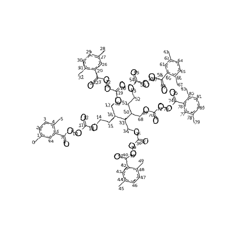 Cc1ccc(C)c(C(=O)OOC(=O)OCCC(COC(=O)OOC(=O)c2cc(C)ccc2C)C(COC(=O)OOC(=O)c2cc(C)ccc2C)C(CCOC(=O)OOC(=O)c2cc(C)ccc2C)COC(=O)OOC(=O)c2cc(C)ccc2C)c1